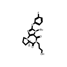 CCCCn1c(Oc2cccc(F)c2)nc2c1C(=O)N(CCCO)C(=O)[C@H]1CCCN21